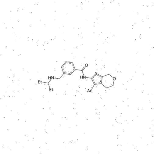 CCC(CC)NCc1cccc(C(=O)Nc2sc3c(c2C(C)=O)CCOC3)c1